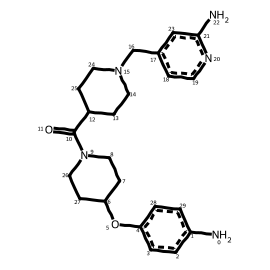 Nc1ccc(OC2CCN(C(=O)C3CCN(Cc4ccnc(N)c4)CC3)CC2)cc1